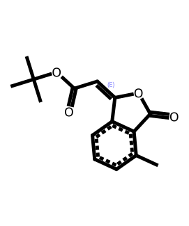 Cc1cccc2c1C(=O)O/C2=C/C(=O)OC(C)(C)C